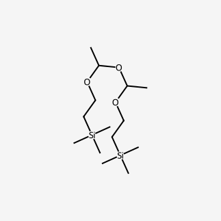 CC(OCC[Si](C)(C)C)OC(C)OCC[Si](C)(C)C